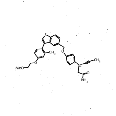 CC#C[C@@H](CC(N)=O)c1ccc(OCc2ccc3scc(-c4ccc(OCCOC)cc4C)c3c2)cc1